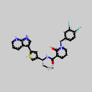 O=C(O)C[C@@H](NC(=O)c1cccn(Cc2ccc(F)c(F)c2)c1=O)c1csc(-c2c[nH]c3ncccc23)c1